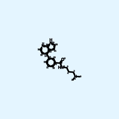 CN(C)CCCNC(=O)c1cccc(-c2ccnc3[nH]ccc23)c1